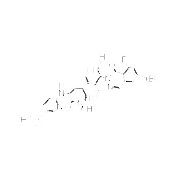 C=C/C(=C(CO)\C(=C/C)c1cc(Nc2ccc(C(=O)O)cn2)c(=O)n(C)c1)n1ncc2cc(C(C)(C)C)cc(F)c2c1=O